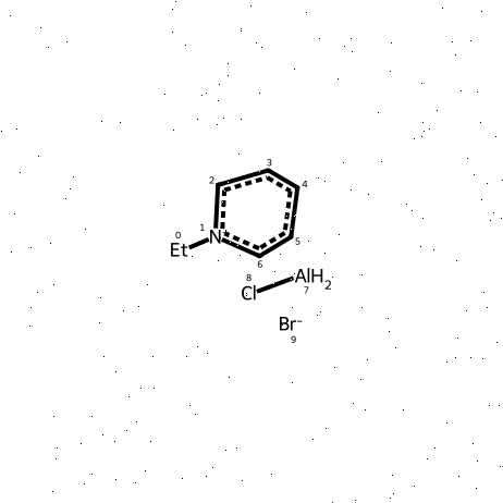 CC[n+]1ccccc1.[AlH2][Cl].[Br-]